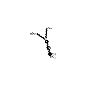 CCCCCCCCCCCCCCCCCCN(CCCCCCCCCCCCCCCCCC)c1ccc(/C=C/c2ccc(/C=C/c3ccc([N+](=O)[O-])c(C#N)c3)nc2)cc1